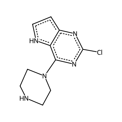 Clc1nc(N2CCNCC2)c2[nH]ccc2n1